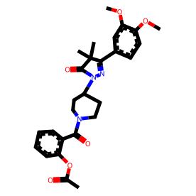 COc1ccc(C2=NN(C3CCN(C(=O)c4ccccc4OC(C)=O)CC3)C(=O)C2(C)C)cc1OC